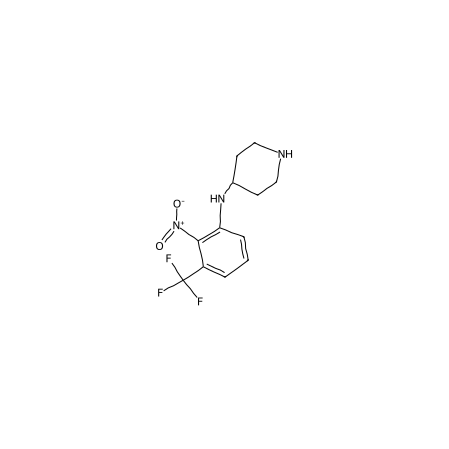 O=[N+]([O-])c1c(NC2CCNCC2)cccc1C(F)(F)F